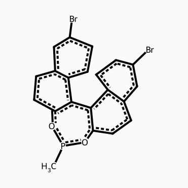 Cp1oc2ccc3cc(Br)ccc3c2c2c(ccc3cc(Br)ccc32)o1